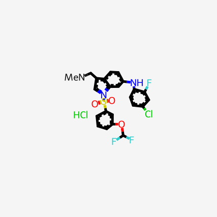 CNCc1cn(S(=O)(=O)c2cccc(OC(F)F)c2)c2cc(Nc3ccc(Cl)cc3F)ccc12.Cl